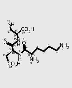 NCCCC[C@H](N)C(=O)N[C@@H](CC(=O)O)C(=O)N[C@@H](CS)C(=O)O